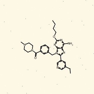 CCCCOc1nc(N)c2nc(-c3cncc(CC)c3)n(Cc3cccc(C(=O)N4CCN(C)CC4)c3)c2n1